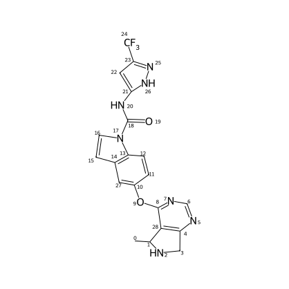 CC1NCc2ncnc(Oc3ccc4c(ccn4C(=O)Nc4cc(C(F)(F)F)n[nH]4)c3)c21